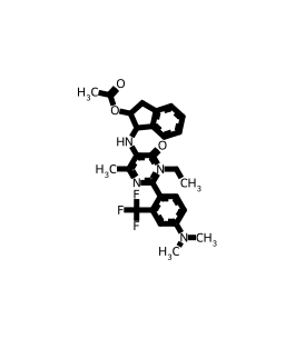 CCn1c(-c2ccc(N(C)C)cc2C(F)(F)F)nc(C)c(NC2c3ccccc3CC2OC(C)=O)c1=O